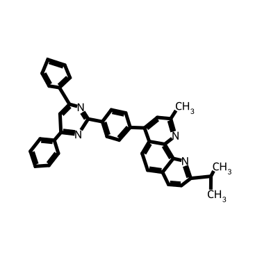 Cc1cc(-c2ccc(-c3nc(-c4ccccc4)cc(-c4ccccc4)n3)cc2)c2ccc3ccc(C(C)C)nc3c2n1